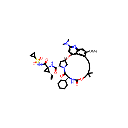 C=C[C@@H]1C[C@]1(NC(=O)[C@@H]1C[C@@H]2CN1C(=O)[C@H](C1CCCCC1)NC(=O)OCC(C)(C)CCCc1cc3c(cc(N(C)C)nc3cc1OC)O2)C(=O)NS(=O)(=O)C1CC1